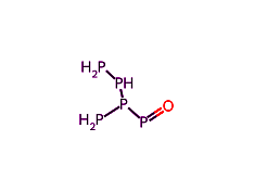 O=PP(P)PP